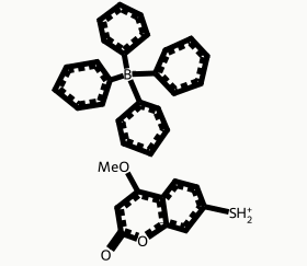 COc1cc(=O)oc2cc([SH2+])ccc12.c1ccc([B-](c2ccccc2)(c2ccccc2)c2ccccc2)cc1